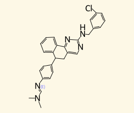 CN(C)/C=N/c1ccc(C2Cc3cnc(NCc4cccc(Cl)c4)nc3-c3ccccc32)cc1